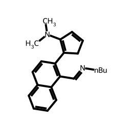 CCCCN=Cc1c(C2=C(N(C)C)C=CC2)ccc2ccccc12